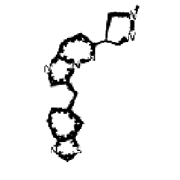 CN1CC(c2ccc3ncc(Cc4ccc5ncsc5c4)n3n2)C=N1